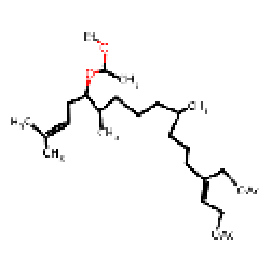 CCOC(C)OC(CC=C(C)C)C(C)CCCC(C)CCCC(=CCOC(C)=O)COC(C)=O